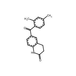 Cc1ccc(C(=O)c2ccc3c(c2)CCC(=O)N3)c(C)c1